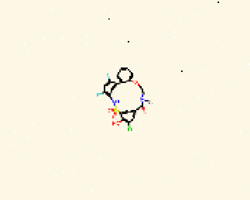 CCN1CCOc2ccccc2-c2cc(c(F)cc2F)NS(=O)(=O)c2cc(cc(Cl)c2O)C1=O